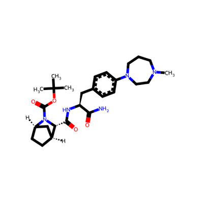 CN1CCCN(c2ccc(C[C@H](NC(=O)[C@@H]3[C@H]4CC[C@H](C4)N3C(=O)OC(C)(C)C)C(N)=O)cc2)CC1